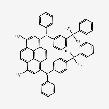 Cc1cc(N(c2ccccc2)c2ccc(S(C)(C)c3ccccc3)cc2)c2ccc3c(N(c4ccccc4)c4cccc(S(C)(C)c5ccccc5)c4)cc(C)c4ccc1c2c43